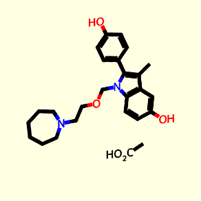 CC(=O)O.Cc1c(-c2ccc(O)cc2)n(COCCN2CCCCCC2)c2ccc(O)cc12